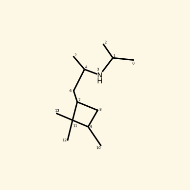 CC(C)NC(C)CC1CC(C)C1(C)C